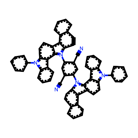 N#Cc1cc(-n2c3ccc4ccccc4c3c3ccc4c(c5ccccc5n4-c4ccccc4)c32)c(C#N)cc1-n1c2c#cc3ccccc3c2c2ccc3c(c4ccccc4n3-c3ccccc3)c21